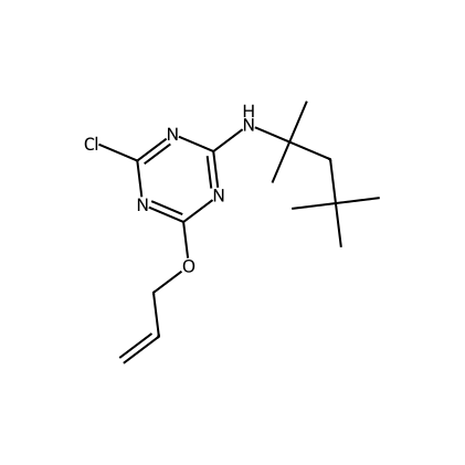 C=CCOc1nc(Cl)nc(NC(C)(C)CC(C)(C)C)n1